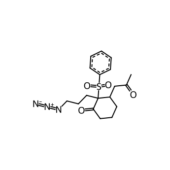 CC(=O)CC1CCCC(=O)C1(CCCN=[N+]=[N-])S(=O)(=O)c1ccccc1